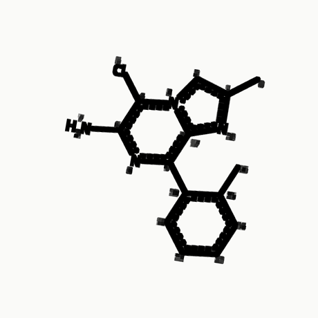 Cc1cn2c(Cl)c(N)nc(-c3ccccc3C)c2n1